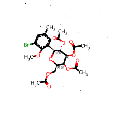 COc1c(Br)cc(C)cc1[C@@H]1O[C@H](COC(C)=O)[C@H](OC(C)=O)[C@H](OC(C)=O)[C@H]1OC(C)=O